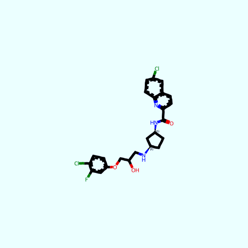 O=C(N[C@H]1CC[C@@H](NCC(O)COc2ccc(Cl)c(F)c2)C1)c1ccc2cc(Cl)ccc2n1